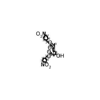 CN(CC[C@@H]1C[C@@H](O)CN1C(=O)OCc1ccc([N+](=O)[O-])cc1)C(=O)OCc1ccc([N+](=O)[O-])cc1